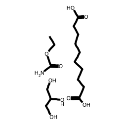 CCOC(N)=O.O=C(O)CCCCCCCCC(=O)O.OCC(O)CO